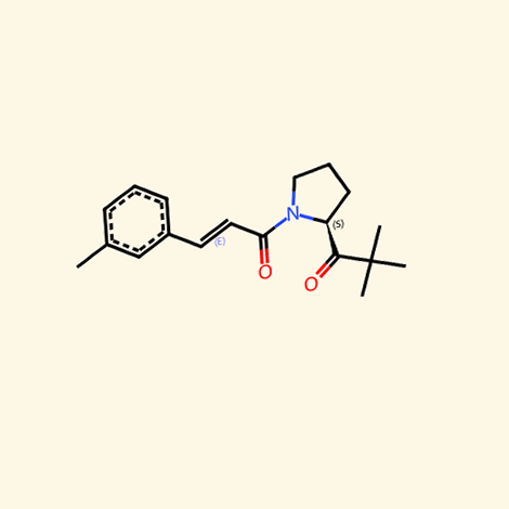 Cc1cccc(/C=C/C(=O)N2CCC[C@H]2C(=O)C(C)(C)C)c1